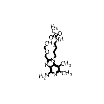 CCOCc1nc2c(N)nc(C)c(C)c2n1CCCCNS(C)(=O)=O